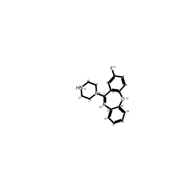 Fc1ccc2c(c1)C(N1CCNCC1)=Nc1ccccc1O2